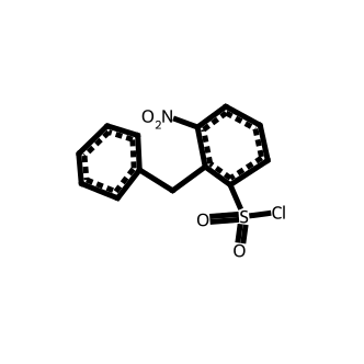 O=[N+]([O-])c1cccc(S(=O)(=O)Cl)c1Cc1ccccc1